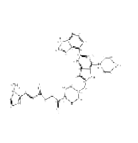 Cn1ccnc1C=CC(=O)CCC(=O)N1CCN(Cc2cc3nc(-c4cccc5[nH]ncc45)nc(N4CCOCC4)c3s2)CC1